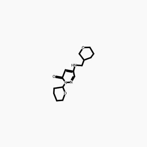 O=c1cc(NCC2CCCOC2)cnn1C1CCCCO1